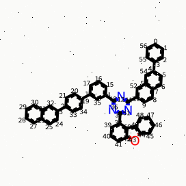 c1ccc(-c2ccc3ccc(-c4nc(-c5cccc(-c6ccc(-c7ccc8ccccc8c7)cc6)c5)nc(-c5cccc6oc7ccccc7c56)n4)cc3c2)cc1